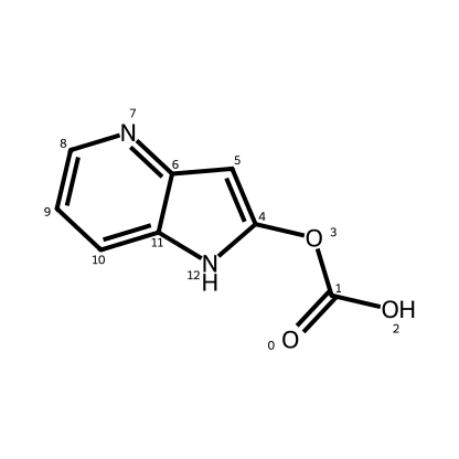 O=C(O)Oc1cc2ncccc2[nH]1